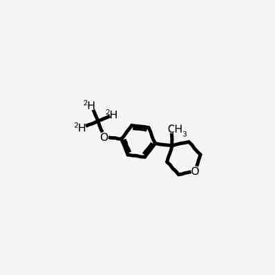 [2H]C([2H])([2H])Oc1ccc(C2(C)CCOCC2)cc1